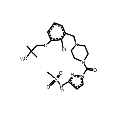 CC(C)(O)COc1cccc(CN2CCN(C(=O)n3ccc(NS(C)(=O)=O)n3)CC2)c1Cl